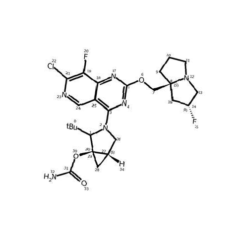 CC(C)(C)C1N(c2nc(OC[C@@]34CCCN3C[C@H](F)C4)nc3c(F)c(Cl)ncc23)C[C@@H]2C[C@]12OC(N)=O